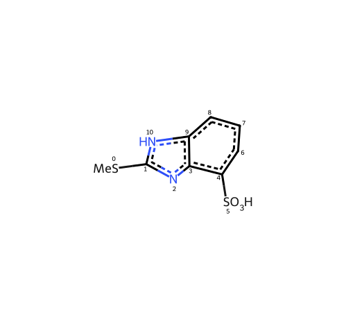 CSc1nc2c(S(=O)(=O)O)cccc2[nH]1